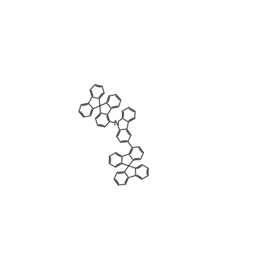 c1ccc2c(c1)-c1ccccc1C21c2ccccc2-c2c(-c3ccc4c(c3)c3ccccc3n4-c3cccc4c3-c3ccccc3C43c4ccccc4-c4ccccc43)cccc21